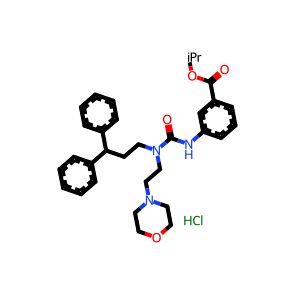 CC(C)OC(=O)c1cccc(NC(=O)N(CCC(c2ccccc2)c2ccccc2)CCN2CCOCC2)c1.Cl